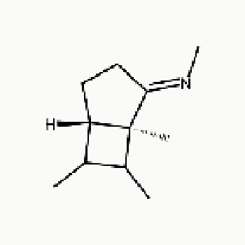 C/N=C1\CC[C@H]2C(C)C(C)[C@]12C